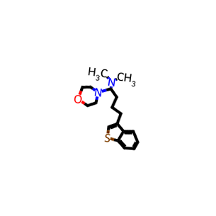 CN(C)C(CCCc1csc2ccccc12)N1CCOCC1